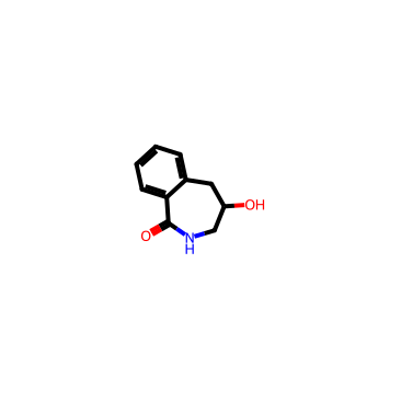 O=C1NCC(O)Cc2ccccc21